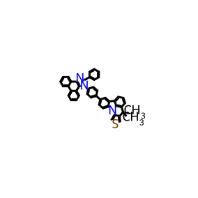 CC1(C)c2cscc2-n2c3ccc(-c4ccc(-n5c(-c6ccccc6)nc6c7ccccc7c7ccccc7c65)cc4)cc3c3cccc1c32